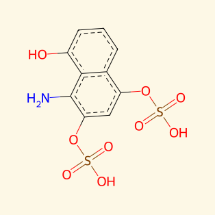 Nc1c(OS(=O)(=O)O)cc(OS(=O)(=O)O)c2cccc(O)c12